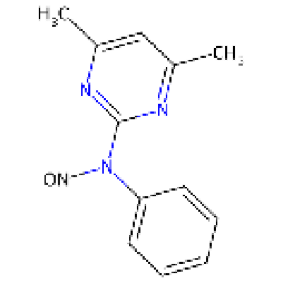 Cc1cc(C)nc(N(N=O)c2ccccc2)n1